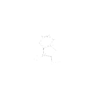 O=C(O)C1Cc2ccccc2N1C(F)(F)F